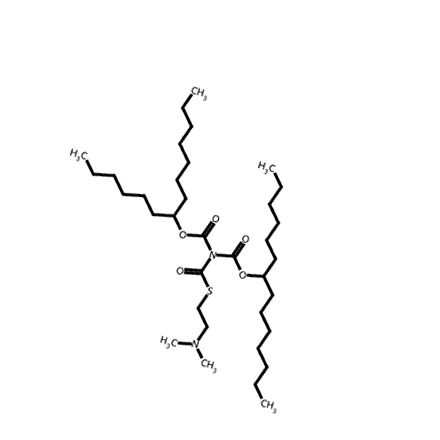 CCCCCCCC(CCCCCC)OC(=O)N(C(=O)OC(CCCCCC)CCCCCCC)C(=O)SCCN(C)C